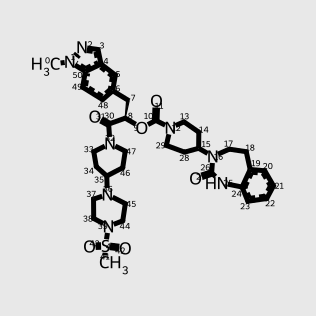 Cn1ncc2cc(C[C@@H](OC(=O)N3CCC(N4CCc5ccccc5NC4=O)CC3)C(=O)N3CCC(N4CCN(S(C)(=O)=O)CC4)CC3)ccc21